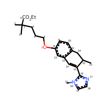 CCOC(=O)C(C)(C)CCCOc1ccc2c(c1)C=C(c1nccn1C)C(C)C2